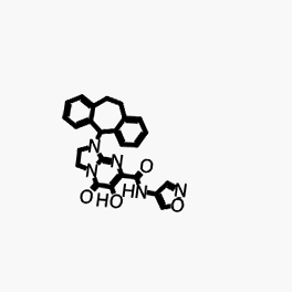 O=C(Nc1cnoc1)c1nc2n(c(=O)c1O)CCN2C1c2ccccc2CCc2ccccc21